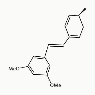 COc1cc(/C=C/C2=CC[C@H](C)C=C2)cc(OC)c1